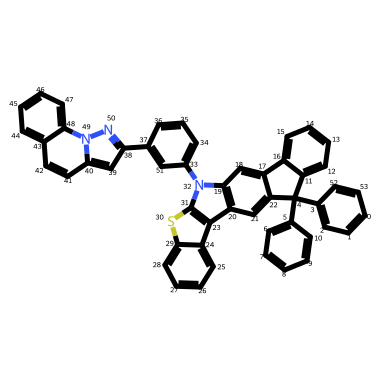 c1ccc(C2(c3ccccc3)c3ccccc3-c3cc4c(cc32)c2c3ccccc3sc2n4-c2cccc(-c3cc4ccc5ccccc5n4n3)c2)cc1